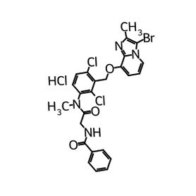 Cc1nc2c(OCc3c(Cl)ccc(N(C)C(=O)CNC(=O)c4ccccc4)c3Cl)cccn2c1Br.Cl